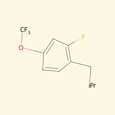 CC(C)Cc1ccc(OC(F)(F)F)cc1F